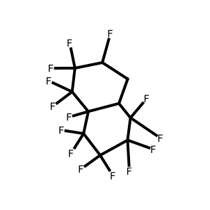 FC1CC2C(F)(F)C(F)(F)C(F)(F)C(F)(F)C2(F)C(F)(F)C1(F)F